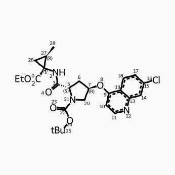 CCOC(=O)[C@@]1(NC(=O)[C@@H]2C[C@@H](Oc3ccnc4cc(Cl)ccc34)CN2C(=O)OC(C)(C)C)C[C@H]1C